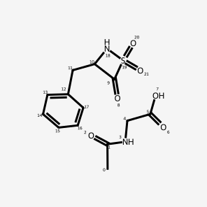 CC(=O)NCC(=O)O.O=C1C(Cc2ccccc2)NS1(=O)=O